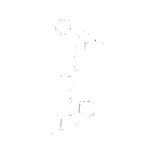 CNC(=O)C(C)(CCCCC(O)CCCCC(C)(C(=O)NC)c1ccccc1)c1ccccc1